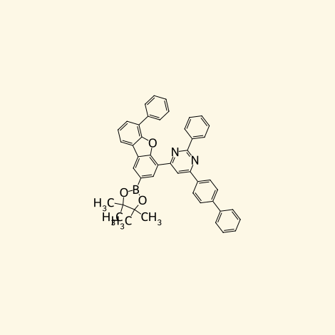 CC1(C)OB(c2cc(-c3cc(-c4ccc(-c5ccccc5)cc4)nc(-c4ccccc4)n3)c3oc4c(-c5ccccc5)cccc4c3c2)OC1(C)C